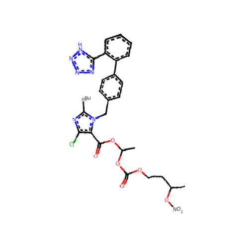 CCCCc1nc(Cl)c(C(=O)OC(C)OC(=O)OCCC(C)O[N+](=O)[O-])n1Cc1ccc(-c2ccccc2-c2nnn[nH]2)cc1